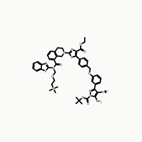 [C-]#[N+]c1c(-c2cccc(OCc3ccc(-c4sc(N5CCc6cccc(C(=O)N(COCC[Si](C)(C)C)c7nc8ccccc8s7)c6C5)nc4C(=O)OCC)cc3)c2)nn(C(=O)OC(C)(C)C)c1N